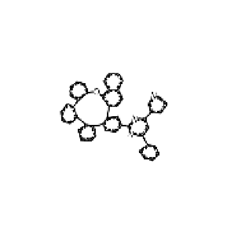 c1ccc(-c2cc(-c3cccnc3)nc(-c3ccc4c(c3)-c3ccc5ccccc5c3Oc3ccccc3-c3ccccc3-c3ccccc3-4)n2)cc1